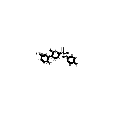 Cc1nc(NS(=O)(=O)c2ccc(F)cc2)ccc1-c1cc(Cl)ccc1Cl